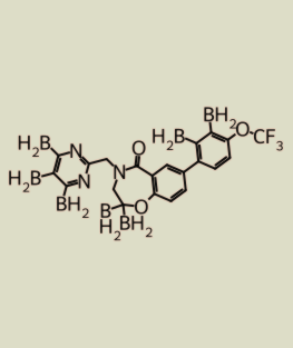 Bc1nc(CN2CC(B)(B)Oc3ccc(-c4ccc(OC(F)(F)F)c(B)c4B)cc3C2=O)nc(B)c1B